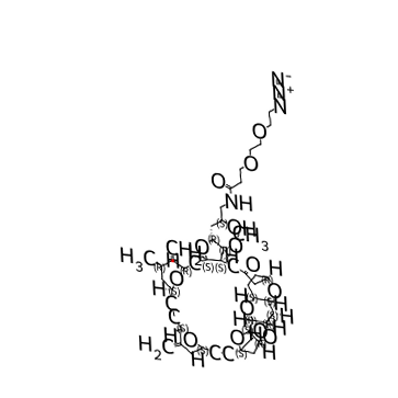 C=C1C[C@@H]2CC[C@@]34C[C@H]5O[C@H]6[C@@H](O3)[C@H]3O[C@H](CC[C@@H]3O[C@H]6[C@H]5O4)CC(=O)C[C@@H]3[C@@H](OC)[C@@H](C[C@H](O)CNC(=O)CCOCCOCCN=[N+]=[N-])O[C@H]3C[C@H]3O[C@@H](CC[C@@H]1O2)C[C@@H](C)C3=C